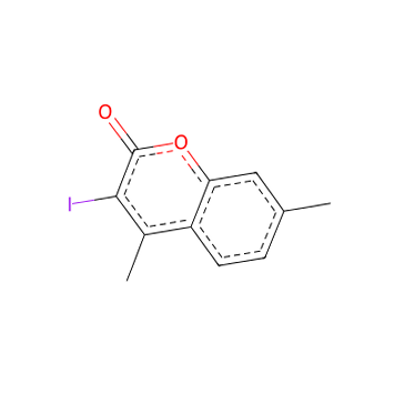 Cc1ccc2c(C)c(I)c(=O)oc2c1